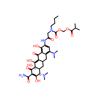 CCCCN(CC(=O)Nc1cc(N(C)C)c2c(c1O)C(=O)C1=C(O)[C@]3(O)C(=O)C(C(N)=O)=C(O)[C@@H](N(C)C)C3CC1C2)C(=O)OCOC(=O)C(C)C